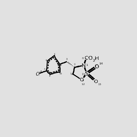 O=C(O)N1[C@@H](Cc2ccc(Cl)cc2)COS1(=O)=O